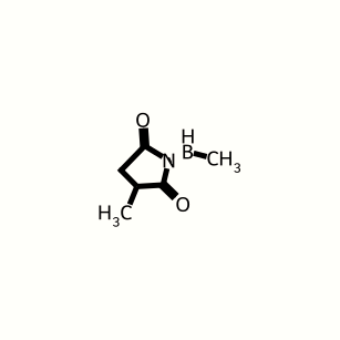 CBN1C(=O)CC(C)C1=O